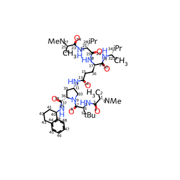 CN[C@@H](C)C(=O)N[C@H](C(=O)N1C[C@@H](NC(=O)CC[C@@H](NC(=O)[C@H](NC(=O)[C@@H](C)NC)C(C)C)C(=O)N[C@@H](C)C(C)C)C[C@H]1C(=O)N[C@@H]1CCCc2ccccc21)C(C)(C)C